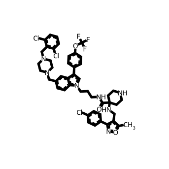 Cc1onc(-c2ccc(Cl)cc2)c1CNC1(C(=O)NCCCn2cc(-c3ccc(OC(F)(F)F)cc3)c3cc(CN4CCN(Cc5c(Cl)cccc5Cl)CC4)ccc32)CCNCC1